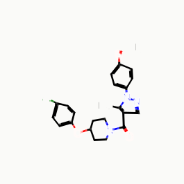 COc1ccc(-n2ncc(C(=O)N3CCC(Oc4ccc(Cl)cc4)CC3)c2C)cc1